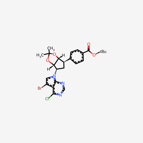 CC(C)(C)OC(=O)c1ccc([C@H]2C[C@@H](n3cc(Br)c4c(Cl)ncnc43)[C@@H]3OC(C)(C)O[C@@H]32)cc1